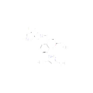 COC(=O)C[C@H](CN1CC2(CNCC2(F)F)C1)c1cccc(-n2nc(C)cc2C)c1